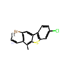 CC/C=C\c1c(Br)cc2c(sc3cc(Cl)ccc32)c1C